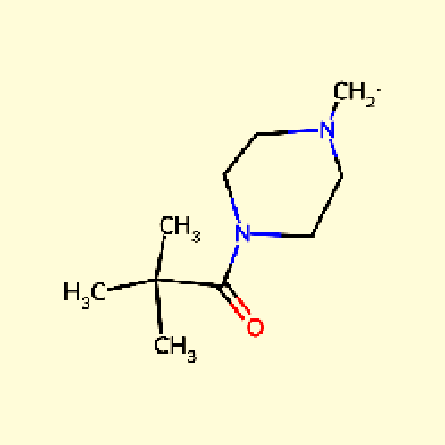 [CH2]N1CCN(C(=O)C(C)(C)C)CC1